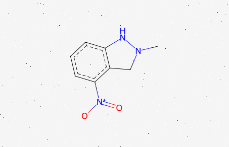 CN1Cc2c(cccc2[N+](=O)[O-])N1